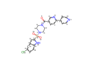 O=C(c1ccc(-c2ccncc2)nc1)N1CCN(S(=O)(=O)c2cc3cc(Cl)ccc3[nH]2)CC1